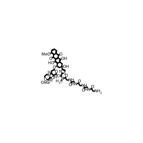 COc1cccc2c1C(=O)c1c(O)c3c(c(O)c1C2=O)C[C@@](O)(c1csc(CN(C)C(=O)CNC(=O)CNC(=O)CNC(=O)CNC(=O)CN)n1)C[C@@H]3O[C@H]1C[C@H]2[C@H](O[C@@H]3[C@@H](OC)OCCN32)[C@H](C)O1